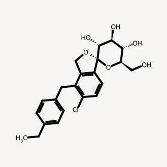 CCc1ccc(Cc2c(Cl)ccc3c2CO[C@]32O[C@H](CO)[C@@H](O)[C@H](O)[C@H]2O)cc1